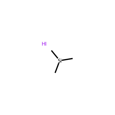 C[Si](C)C.I